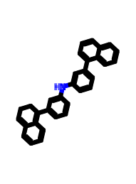 C1=c2ccccc2=C(c2cccc(Nc3cccc(-c4cccc5ccccc45)c3)c2)CC1